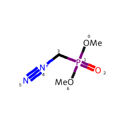 COP(=O)(C[N+]#N)OC